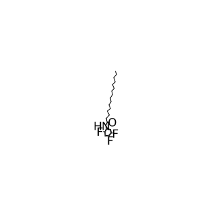 CCCCCCCCCCCCCCCC(=O)Nc1cc(F)c(F)cc1F